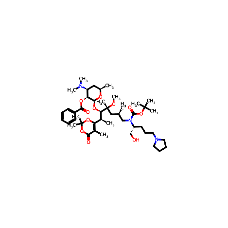 CO[C@](C)(C[C@@H](C)CN(C(=O)OC(C)(C)C)[C@@H](CO)CCCN1CCCC1)[C@H](O[C@@H]1O[C@H](C)C[C@H](N(C)C)[C@H]1OC(=O)c1ccccc1)[C@@H](C)C1=C(C)C(=O)OC(C)(C)O1